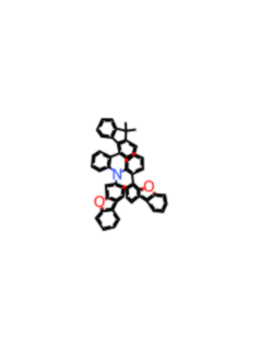 CC1(C)c2ccccc2-c2c(-c3ccccc3N(c3ccc4c(c3)oc3ccccc34)c3ccccc3-c3cccc4c3oc3ccccc34)cccc21